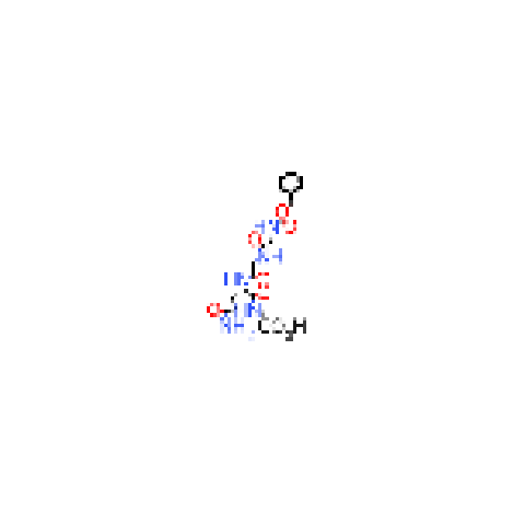 NC(=O)CC[C@H](NC(=O)CNC(=O)CNC(=O)OCc1ccccc1)C(=O)NCC(=O)O